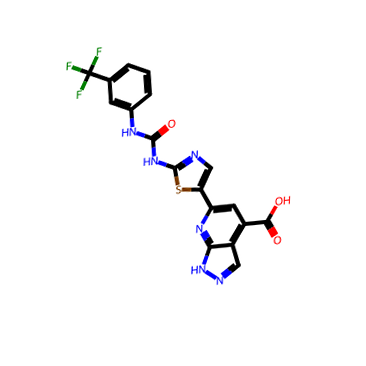 O=C(Nc1cccc(C(F)(F)F)c1)Nc1ncc(-c2cc(C(=O)O)c3cn[nH]c3n2)s1